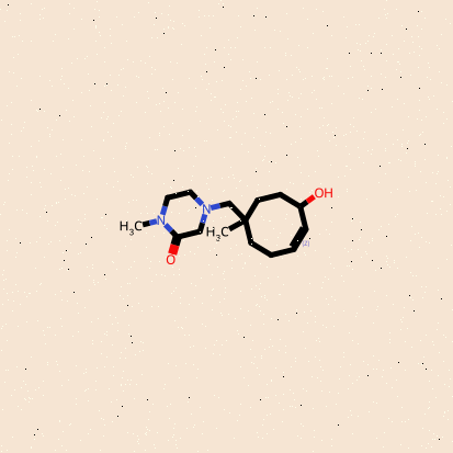 CN1CCN(CC2(C)CC/C=C\C(O)CC2)CC1=O